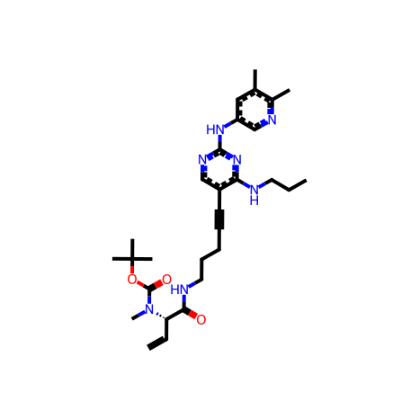 C=C[C@@H](C(=O)NCCCC#Cc1cnc(Nc2cnc(C)c(C)c2)nc1NCCC)N(C)C(=O)OC(C)(C)C